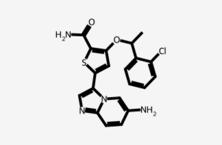 CC(Oc1cc(-c2cnc3ccc(N)cn23)sc1C(N)=O)c1ccccc1Cl